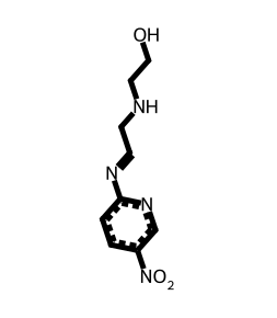 O=[N+]([O-])c1ccc(N=CCNCCO)nc1